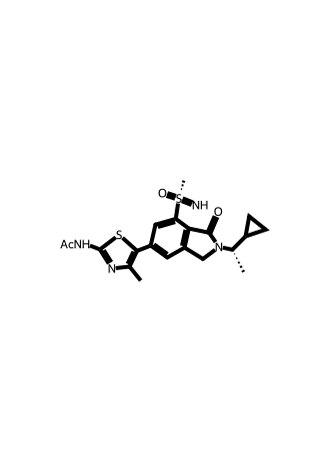 CC(=O)Nc1nc(C)c(-c2cc3c(c([S@](C)(=N)=O)c2)C(=O)N([C@@H](C)C2CC2)C3)s1